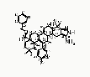 CC1(C)CC[C@]2(C(=O)OCc3ccccc3)CC[C@]3(C)C(=C(c4ccc(F)nc4)CC4[C@@]5(C)Cc6c(n[nH]c6N)C(C)(C)[C@@H]5CC[C@]43C)[C@@H]2C1